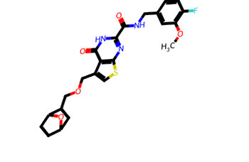 COc1cc(CNC(=O)c2nc3scc(COCC4CC5CCC4O5)c3c(=O)[nH]2)ccc1F